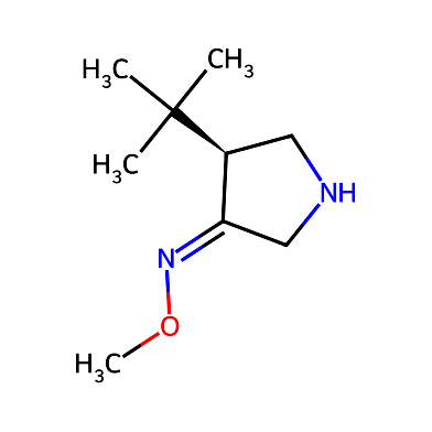 CO/N=C1\CNC[C@@H]1C(C)(C)C